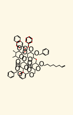 C=CCCCCCCO[C@@H]1OC2COC(c3ccccc3)O[C@@H]2[C@H](O[C@@H]2OC3COC(c4ccccc4)O[C@@H]3[C@H](O[C@H]3OC(COCc4ccccc4)[C@H](OCc4ccccc4)[C@H](C)C3C)C2O[C@@H]2OC(C)[C@@H](OCc3ccccc3)[C@H](OCc3ccccc3)C2OCc2ccccc2)C1C